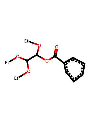 CCOC(OCC)C(OCC)OC(=O)c1ccccc1